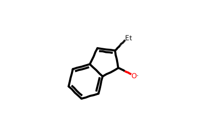 CCC1=Cc2ccccc2C1[O]